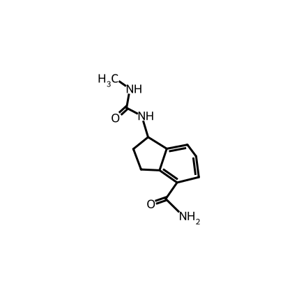 CNC(=O)NC1CCc2c(C(N)=O)cccc21